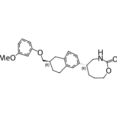 COc1cccc(OC[C@@H]2CCc3cc([C@H]4CCCOC(=O)NC4)ccc3C2)c1